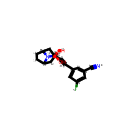 N#Cc1cc(F)cc(C#CC2(O)CC3CCC(C2)N3C(=O)O)c1